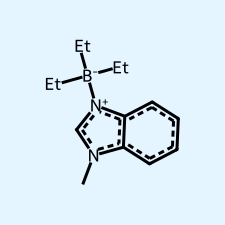 CC[B-](CC)(CC)[n+]1cn(C)c2ccccc21